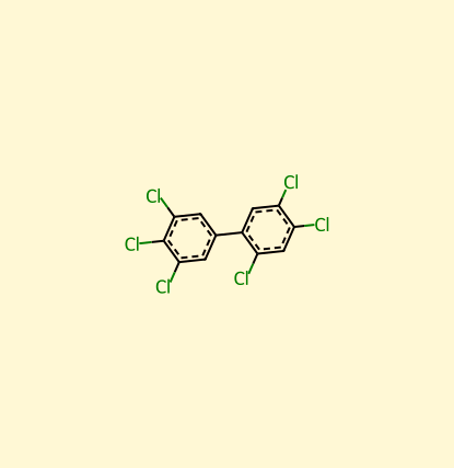 Clc1cc(Cl)c(-c2cc(Cl)c(Cl)c(Cl)c2)cc1Cl